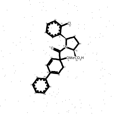 COC1(C(=O)N2[C@@H](c3ccccc3Cl)CC[C@H]2C(=O)O)C=CC(c2ccccc2)=CC1